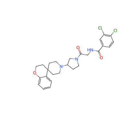 O=C(NCC(=O)N1CCC(N2CCC3(CCOc4ccccc43)CC2)C1)c1ccc(Cl)c(Cl)c1